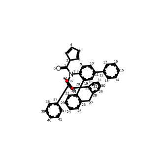 O=C(C1C=CC=C1)N1c2ccc(-c3ccccc3)cc2C2(c3ccccc3Cc3ccccc32)c2cc(-c3ccccc3)ccc21